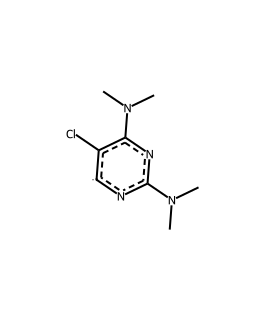 CN(C)c1n[c]c(Cl)c(N(C)C)n1